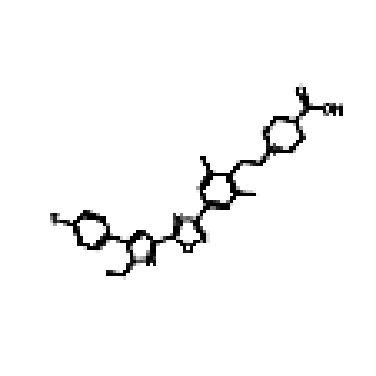 CCn1nc(-c2nc(-c3cc(C)c(CCN4CCC(C(=O)O)CC4)c(C)c3)no2)cc1-c1ccc(F)cc1